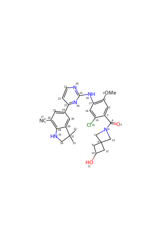 COc1cc(C(=O)N2CC3(CC(O)C3)C2)c(Cl)cc1Nc1nccc(-c2cc(C#N)c3c(c2)C(C)(C)CN3)n1